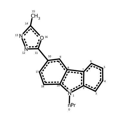 CCCn1c2ccccc2c2cc(-c3nnc(C)o3)ccc21